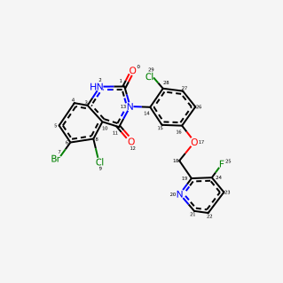 O=c1[nH]c2ccc(Br)c(Cl)c2c(=O)n1-c1cc(OCc2ncccc2F)ccc1Cl